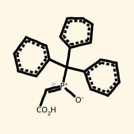 O=C(O)/C=[P+](\[O-])C(c1ccccc1)(c1ccccc1)c1ccccc1